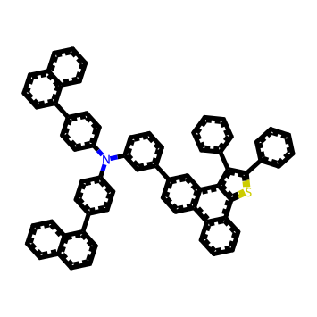 c1ccc(-c2sc3c4ccccc4c4ccc(-c5cccc(N(c6ccc(-c7cccc8ccccc78)cc6)c6ccc(-c7cccc8ccccc78)cc6)c5)cc4c3c2-c2ccccc2)cc1